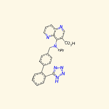 CCCN(Cc1ccc(-c2ccccc2-c2nnn[nH]2)cc1)c1c(C(=O)O)cnc2cccnc12